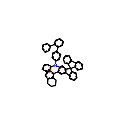 c1ccc(-c2ccccc2-c2ccc(N(c3ccccc3)c3cc4c(cc3-c3cccc5c3CCCC5)-c3ccccc3C43c4ccccc4-c4ccccc43)cc2)cc1